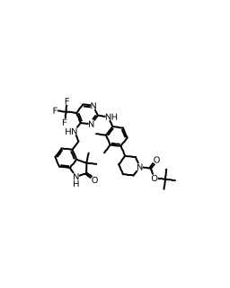 Cc1c(Nc2ncc(C(F)(F)F)c(NCc3cccc4c3C(C)(C)C(=O)N4)n2)ccc(C2CCCN(C(=O)OC(C)(C)C)C2)c1C